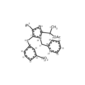 CC(=O)OC(C)c1nc(C(C)C)c(Sc2cccc([N+](=O)[O-])c2)n1Cc1ccccn1